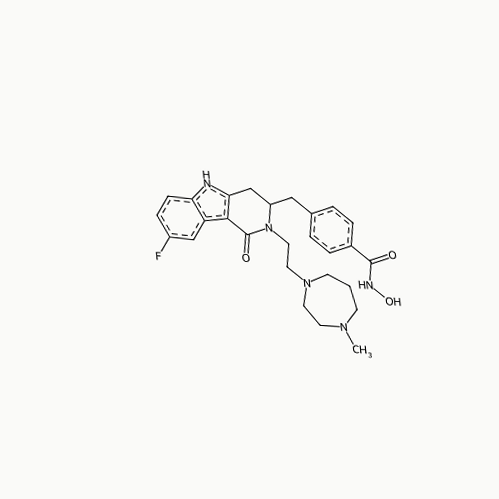 CN1CCCN(CCN2C(=O)c3c([nH]c4ccc(F)cc34)CC2Cc2ccc(C(=O)NO)cc2)CC1